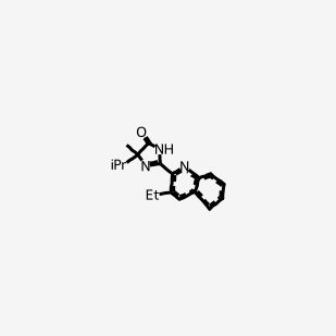 CCc1cc2ccccc2nc1C1=NC(C)(C(C)C)C(=O)N1